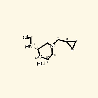 Cl.O=CN[C@@H]1CN(CC2CC2)CCO1